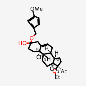 CCO[C@]1(C(C)=O)CC[C@H]2[C@@H]3CC=C4CC(O)(OCc5ccc(OC)cc5)CC[C@]4(C)[C@H]3CC[C@@]21C